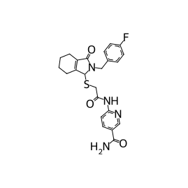 NC(=O)c1ccc(NC(=O)CSC2C3=C(CCCC3)C(=O)N2Cc2ccc(F)cc2)nc1